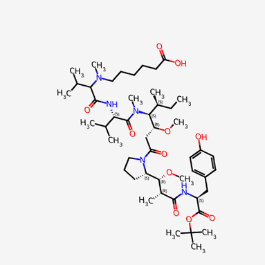 CC[C@H](C)[C@@H]([C@@H](CC(=O)N1CCC[C@H]1[C@H](OC)[C@@H](C)C(=O)N[C@@H](Cc1ccc(O)cc1)C(=O)OC(C)(C)C)OC)N(C)C(=O)[C@@H](NC(=O)C(C(C)C)N(C)CCCCCC(=O)O)C(C)C